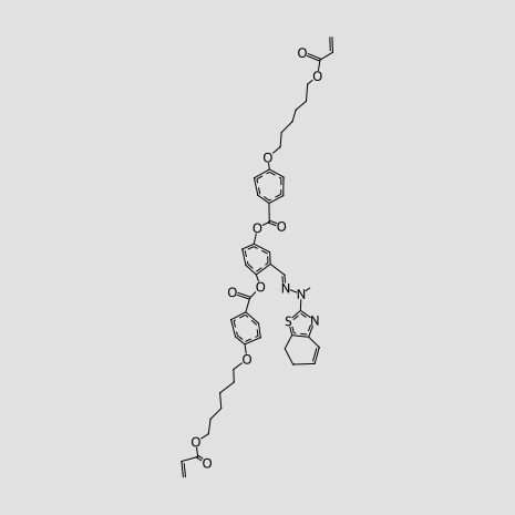 C=CC(=O)OCCCCCCOc1ccc(C(=O)Oc2ccc(OC(=O)c3ccc(OCCCCCCOC(=O)C=C)cc3)c(/C=N/N(C)c3nc4c(s3)CCC=C4)c2)cc1